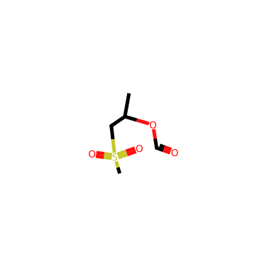 CC(CS(C)(=O)=O)OC=O